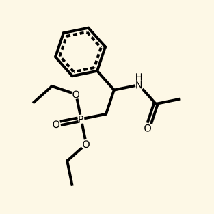 CCOP(=O)(CC(NC(C)=O)c1ccccc1)OCC